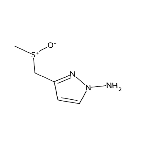 C[S+]([O-])Cc1ccn(N)n1